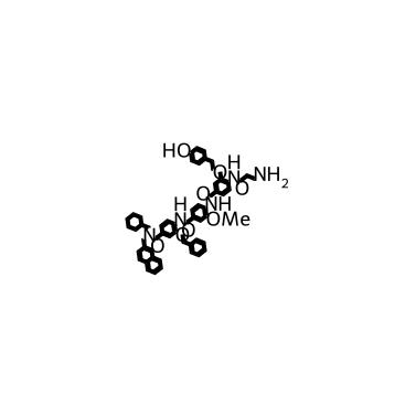 COc1cc(C(=O)Nc2ccc(C(=O)N(Cc3ccc4ccccc4c3)CC3CCCCC3)cc2OCc2ccccc2)ccc1NC(=O)c1ccc(NC(=O)CCN)c(OCCc2ccc(O)cc2)c1